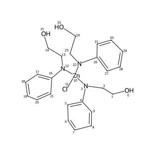 OCC[N](c1ccccc1)[Zn]([Cl])([N](CCO)c1ccccc1)[N](CCO)c1ccccc1